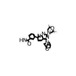 CNC(=O)c1cccc(-c2ccc3c(N4CC5COC(C5)C4)nc(N4C[C@@H](C)O[C@@H](C)C4)nc3n2)c1